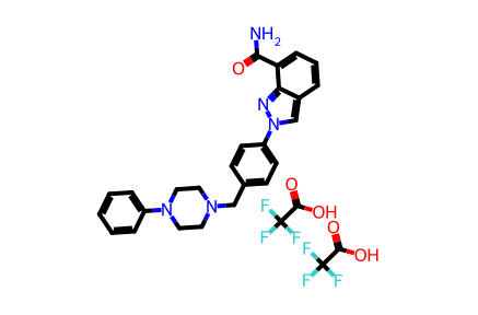 NC(=O)c1cccc2cn(-c3ccc(CN4CCN(c5ccccc5)CC4)cc3)nc12.O=C(O)C(F)(F)F.O=C(O)C(F)(F)F